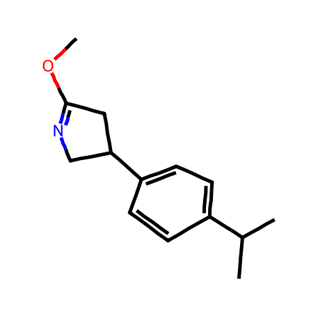 COC1=NCC(c2ccc(C(C)C)cc2)C1